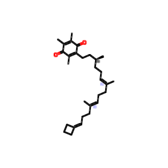 CC1=C(C)C(=O)C(CC[C@@H](C)CC/C=C(\C)CC/C=C(\C)CCC=C2CCC2)=C(C)C1=O